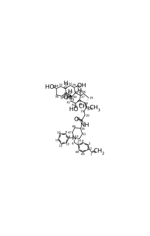 C=Cc1ccc(C[N+]2(c3ccccc3)CCC(NC(=O)CC[C@@H](C)[C@H]3CC[C@H]4[C@@H]5[C@H](O)C[C@@H]6C[C@H](O)CC[C@]6(C)[C@H]5C[C@H](O)[C@]34C)CC2)cc1